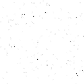 COC(=O)COC(=O)COC(=O)C(COC(C)=O)OC(C)=O